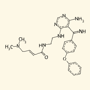 CN(C)C/C=C/C(=O)NCCNc1ncnc(N)c1C(=N)c1ccc(Oc2ccccc2)cc1